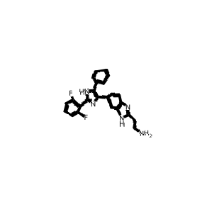 NCCc1nc2ccc(-c3nc(-c4c(F)cccc4F)[nH]c3-c3ccccc3)cc2[nH]1